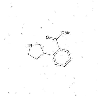 COC(=O)c1ccccc1C1CCNC1